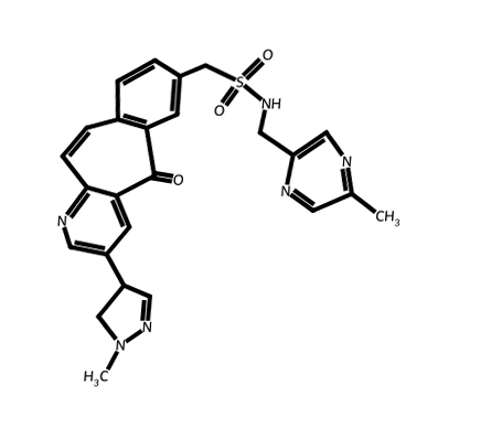 Cc1cnc(CNS(=O)(=O)Cc2ccc3ccc4ncc(C5C=NN(C)C5)cc4c(=O)c3c2)cn1